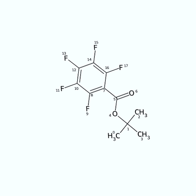 CC(C)(C)OC(=O)c1c(F)c(F)c(F)c(F)c1F